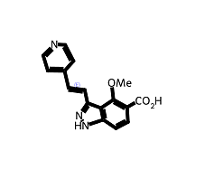 COc1c(C(=O)O)ccc2[nH]nc(/C=C/c3ccncc3)c12